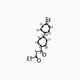 CCC(=O)CC(=O)c1ccc(-c2ccc(CC)cc2)cc1